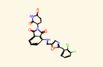 O=C1CCC(N2C(=O)c3cccc(NCc4cnc(-c5cccc(Cl)c5Cl)o4)c3C2=O)C(=O)N1